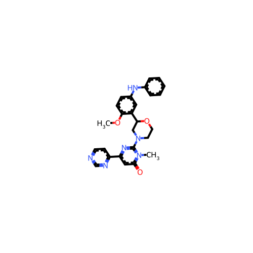 COc1ccc(Nc2ccccc2)cc1C1CN(c2nc(-c3ccncn3)cc(=O)n2C)CCO1